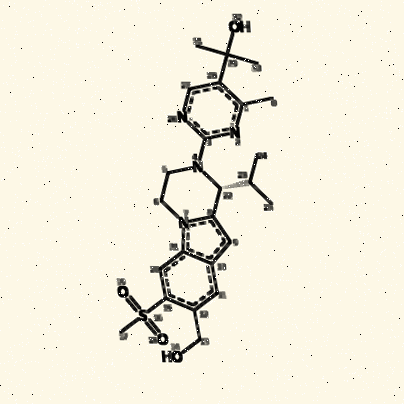 Cc1nc(N2CCn3c(cc4cc(CO)c(S(C)(=O)=O)cc43)[C@H]2C(C)C)ncc1C(C)(C)O